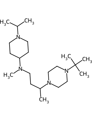 CC(C)N1CCC(N(C)CCC(C)N2CCN(C(C)(C)C)CC2)CC1